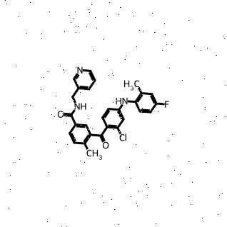 Cc1cc(F)ccc1Nc1ccc(C(=O)c2cc(C(=O)NCc3cccnc3)ccc2C)c(Cl)c1